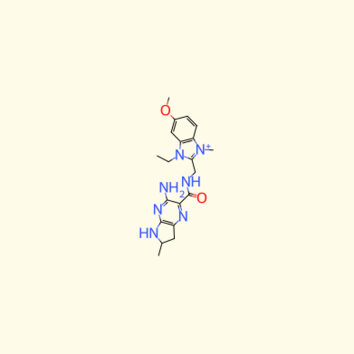 CCn1c(CNC(=O)c2nc3c(nc2N)NC(C)C3)[n+](C)c2ccc(OC)cc21